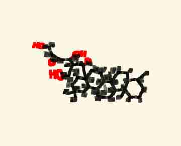 CC1CCCC2(C)C1CCC1(C)C2CC=C2C3CC(C)(C)CCC3(C(=O)C(CO)C(O)C3OC3CO)CC[C@]21C